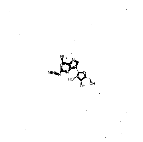 [N-]=[N+]=Nc1nc(N)c2ncn([C@@H]3O[C@H](CO)[C@@H](O)[C@H]3O)c2n1